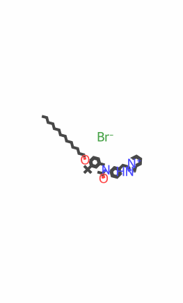 CCCCCCCCCCCCCCOc1ccc(CN(C(C)=O)c2cccc(Cc3[nH]cc4cccc[n+]34)c2)cc1C(C)(C)C.[Br-]